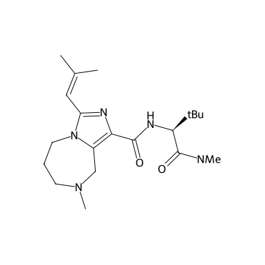 CNC(=O)[C@@H](NC(=O)c1nc(C=C(C)C)n2c1CN(C)CCC2)C(C)(C)C